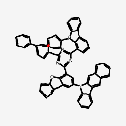 c1ccc(-c2ccc(-c3nc(-c4cc(-n5c6ccccc6c6cc7ccccc7cc65)cc5c4oc4ccccc45)nc(-c4cccc5c6ccccc6n(-c6ccccc6)c45)n3)cc2)cc1